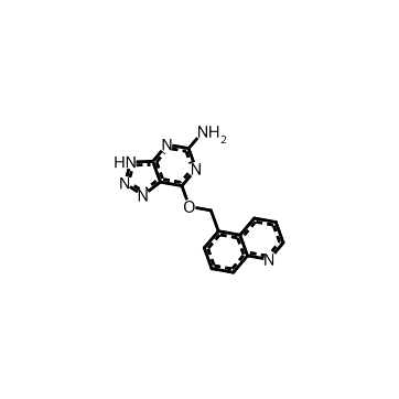 Nc1nc(OCc2cccc3ncccc23)c2nn[nH]c2n1